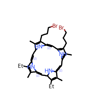 CCC1=C(C)/C2=C/c3[nH]c(c(CCCBr)c3C)/C=C3\NC(/C=c4\[nH]/c(c(C)c4CC)=C\C1N2)C(C)=C3CCCBr